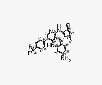 Cn1cc(Nc2ncc(-c3ccc(C(F)(F)F)cc3)c(Nc3cc(N)ccc3F)n2)c(Cl)n1